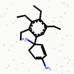 CCc1cc(C2(N)C=CC(N)=CC2)c(CC)c(CC)c1CC